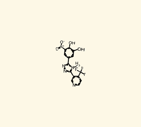 Cn1c(-c2cc(O)c(O)c([N+](=O)[O-])c2)nnc1-c1cnccc1C(F)(F)F